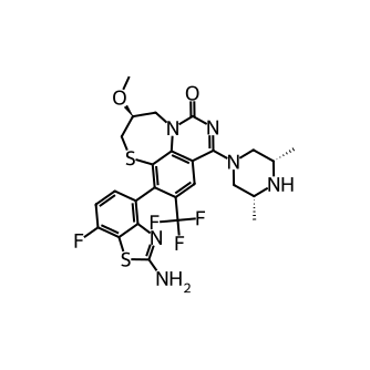 CO[C@@H]1CSc2c(-c3ccc(F)c4sc(N)nc34)c(C(F)(F)F)cc3c(N4C[C@@H](C)N[C@@H](C)C4)nc(=O)n(c23)C1